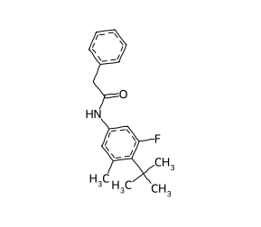 Cc1cc(NC(=O)Cc2ccccc2)cc(F)c1C(C)(C)C